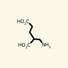 NCC(CCC(=O)O)C(=O)O